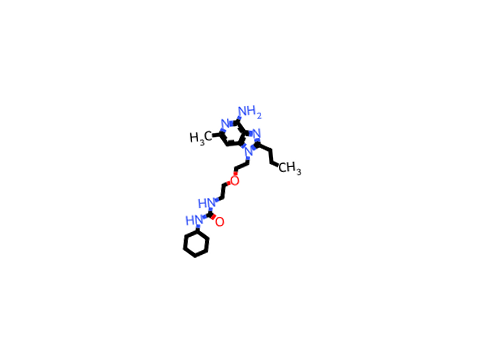 CCCc1nc2c(N)nc(C)cc2n1CCOCCNC(=O)NC1CCCCC1